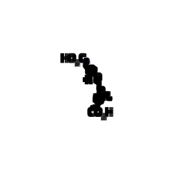 CN(C)c1cc(/C=C/C(=O)O)ccc1OCCCOc1ccc(/C=C/C(=O)O)cc1N(C)C